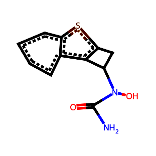 NC(=O)N(O)C1Cc2sc3ccccc3c21